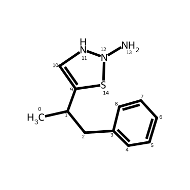 CC(Cc1ccccc1)C1=CNN(N)S1